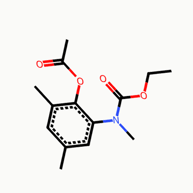 CCOC(=O)N(C)c1cc(C)cc(C)c1OC(C)=O